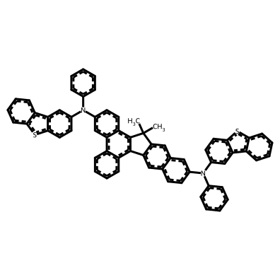 CC1(C)c2cc3cc(N(c4ccccc4)c4ccc5sc6ccccc6c5c4)ccc3cc2-c2c1c1ccc(N(c3ccccc3)c3ccc4sc5ccccc5c4c3)cc1c1ccccc21